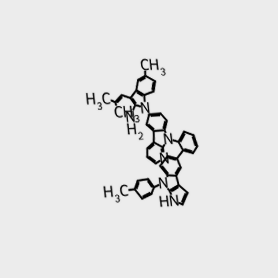 CC(C)=Cc1c(N)n(-c2ccc3c(c2)c2cccnc2n3-c2ccccc2-c2ccc3c(c2)c2cc[nH]c2n3-c2ccc(C)cc2)c2ccc(C)cc12